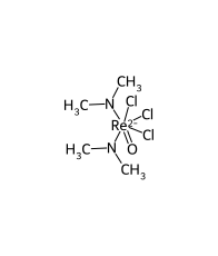 C[N](C)[Re-2](=[O])([Cl])([Cl])([Cl])[N](C)C